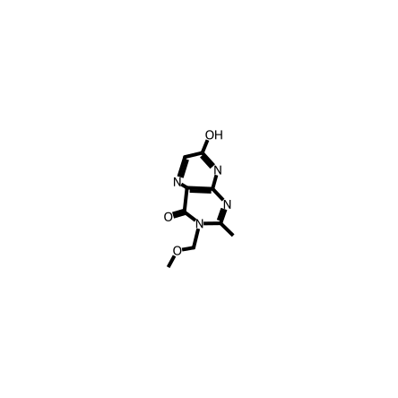 COCn1c(C)nc2nc(O)cnc2c1=O